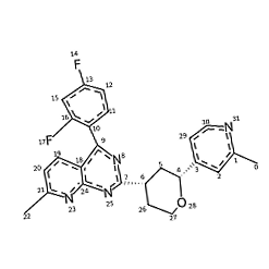 Cc1cc([C@H]2C[C@@H](c3nc(-c4ccc(F)cc4F)c4ccc(C)nc4n3)CCO2)ccn1